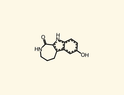 O=C1NCCCc2c1[nH]c1ccc(O)cc21